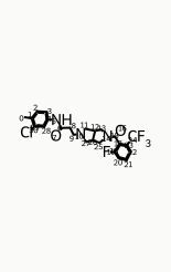 Cc1ccc(NC(=O)CCN2CC3CN(C(=O)c4c(F)cccc4C(F)(F)F)CC3C2)cc1Cl